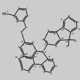 CC(C)(C)c1cccc(CCc2cccc(N(c3ccc4c(c3)C(C)(C)c3ccccc3-4)c3ccccc3-c3ccccc3)c2)c1